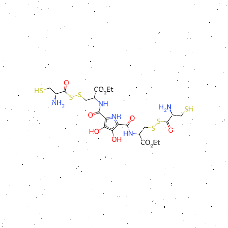 CCOC(=O)C(CSSC(=O)[C@@H](N)CS)NC(=O)c1[nH]c(C(=O)NC(CSSC(=O)[C@@H](N)CS)C(=O)OCC)c(O)c1O